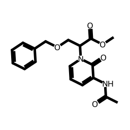 COC(=O)C(COCc1ccccc1)n1cccc(NC(C)=O)c1=O